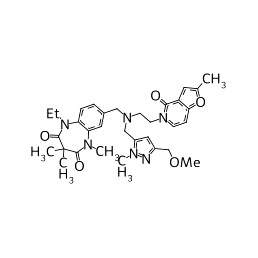 CCN1C(=O)C(C)(C)C(=O)N(C)c2cc(CN(CCn3ccc4oc(C)cc4c3=O)Cc3cc(COC)nn3C)ccc21